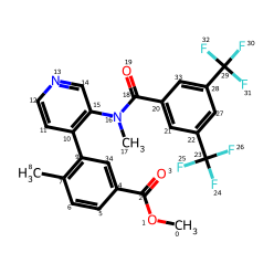 COC(=O)c1ccc(C)c(-c2ccncc2N(C)C(=O)c2cc(C(F)(F)F)cc(C(F)(F)F)c2)c1